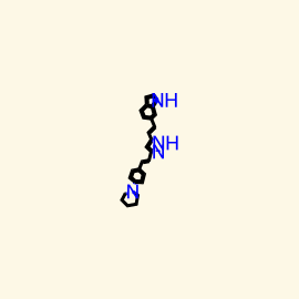 C(=Cc1cc(C=Cc2ccc3cc[nH]c3c2)[nH]n1)c1ccc(N2CCCCC2)cc1